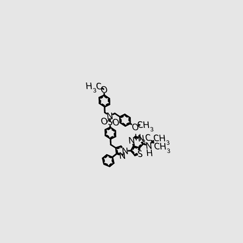 COc1ccc(CN(Cc2ccc(OC)cc2)S(=O)(=O)c2ccc(Cc3cn(-c4csc5c(NC(C)(C)C)ncnc45)nc3-c3ccccc3)cc2)cc1